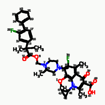 COc1c(N2CCN(COC(=O)C(C)(C)c3ccc(-c4ccccc4)c(F)c3)C(C)C2)c(F)c(C)c2c(=O)c(C(=O)O)c(C)n(C3CC3)c12